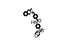 CC1Cc2ccccc2CN1Cc1ccc(C(=O)Nc2ccc([S+]([O-])N3CCOCC3)cc2)cc1